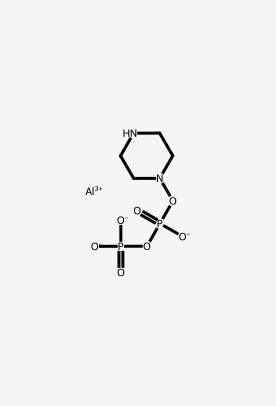 O=P([O-])([O-])OP(=O)([O-])ON1CCNCC1.[Al+3]